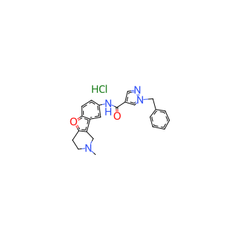 CN1CCc2oc3ccc(NC(=O)c4cnn(Cc5ccccc5)c4)cc3c2C1.Cl